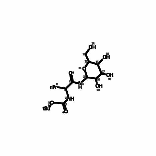 CCCC(NC(=O)OC(C)(C)C)C(=O)NC1OC(CO)C(O)C(O)C1O